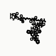 CCC(C)C(C(CC(=O)N1CCC[C@H]1C(OC)C(C)C(=O)NC(Cc1c[nH]c2ccccc12)C(=O)NCc1ccccc1)OC)N(C)C(=O)C(NC(=O)C(C(C)C)N(C)CCCC(=O)NNC(=O)CCCCCN1C(=O)CC(SCC(N)C(=O)O)C1=O)C(C)C